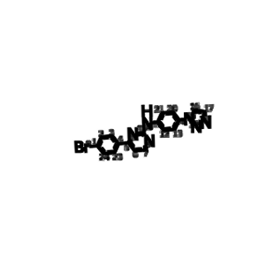 Brc1ccc(-c2ccnc(Nc3ccc(-n4ccnn4)cc3)n2)cc1